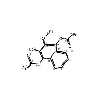 CCOc1c(C)c(OC(=O)C(C)C)c2ccccc2c1OC(=O)C(C)C